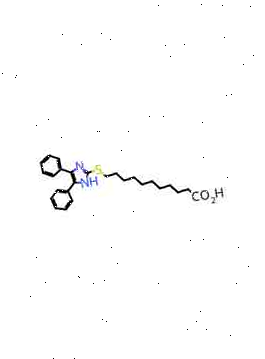 O=C(O)CCCCCCCCCCSc1nc(-c2ccccc2)c(-c2ccccc2)[nH]1